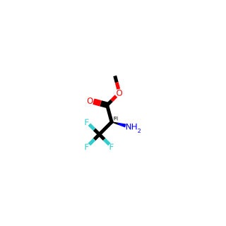 COC(=O)[C@@H](N)C(F)(F)F